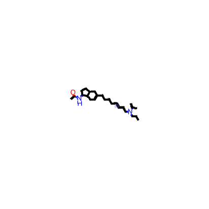 C=C(C)N(CCC)CC/C=C/CCCCC1=CCC2C(CCC2NC(C)=O)C1